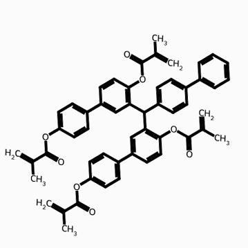 C=C(C)C(=O)Oc1ccc(-c2ccc(OC(=O)C(=C)C)c(C(c3ccc(-c4ccccc4)cc3)c3cc(-c4ccc(OC(=O)C(=C)C)cc4)ccc3OC(=O)C(=C)C)c2)cc1